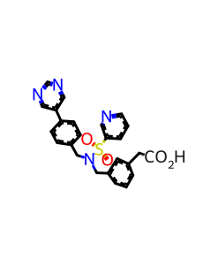 O=C(O)Cc1cccc(CN(Cc2ccc(-c3cncnc3)cc2)S(=O)(=O)c2cccnc2)c1